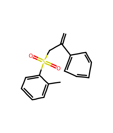 C=C(CS(=O)(=O)c1ccccc1C)c1ccccc1